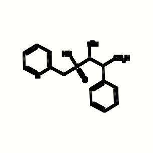 CCCCC(C(C(=O)O)c1ccccc1)P(=O)(O)Cc1ccccn1